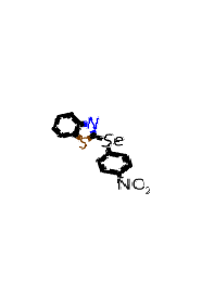 O=[N+]([O-])c1ccc([Se]c2nc3ccccc3s2)cc1